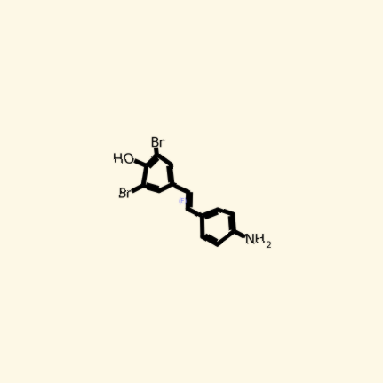 Nc1ccc(/C=C/c2cc(Br)c(O)c(Br)c2)cc1